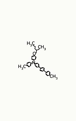 CCCCC(CC)COc1ccc(N(c2ccc(C)cc2)c2ccc(-c3ccc(-c4ccc(C)cc4)cc3)cc2)cc1